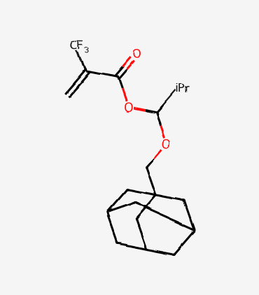 C=C(C(=O)OC(OCC12CC3CC(CC(C3)C1)C2)C(C)C)C(F)(F)F